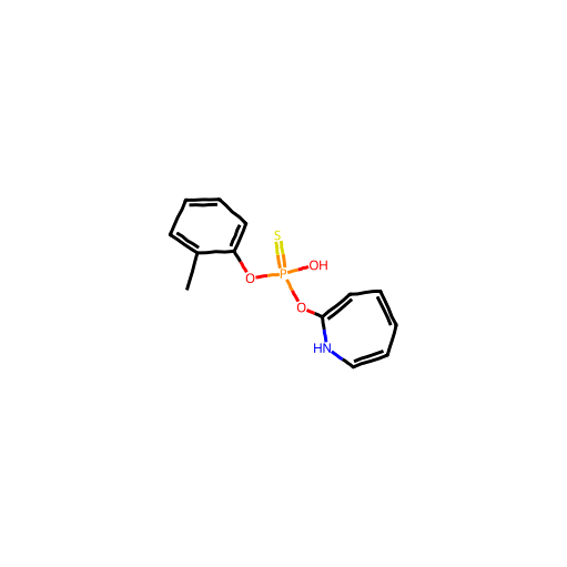 Cc1ccccc1OP(O)(=S)OC1=CC=CC=CN1